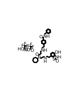 O=C(NCc1ccccc1)c1ccc(CCNCCC(=O)N(CCNCCc2ccc(O)c3[nH]c(=O)sc23)C2CCCCCC2)cc1.O=C(O)C(F)(F)F.O=C(O)C(F)(F)F